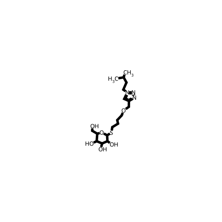 CC(C)CCn1cc(COCCCCSC2OC(CO)C(O)C(O)C2O)nn1